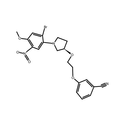 COc1cc(Br)c(N2CC[C@@H](OCCOc3cccc(C#N)c3)C2)cc1[N+](=O)[O-]